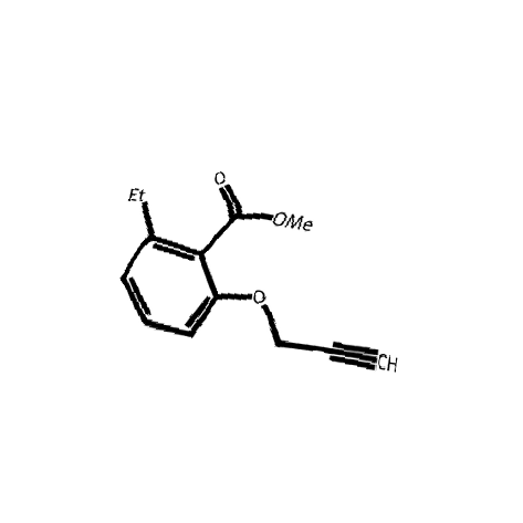 C#CCOc1cccc(CC)c1C(=O)OC